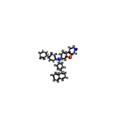 c1ccc(-c2ccc(N(c3ccc(-c4cccc5ccccc45)cc3)c3ccc4c(c3)oc3cnccc34)cc2)cc1